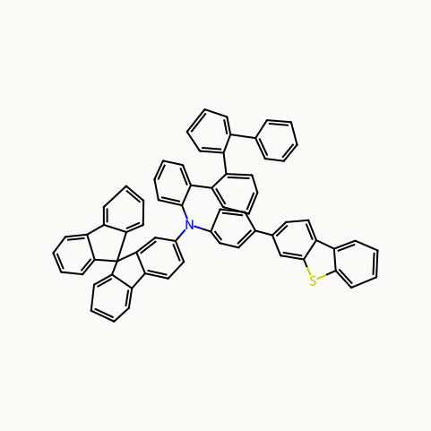 c1ccc(-c2ccccc2-c2ccccc2-c2ccccc2N(c2ccc(-c3ccc4c(c3)sc3ccccc34)cc2)c2ccc3c(c2)C2(c4ccccc4-c4ccccc42)c2ccccc2-3)cc1